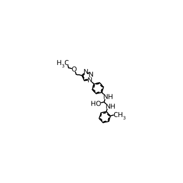 CCOCc1cn(-c2ccc(NC(O)Nc3ccccc3C)cc2)nn1